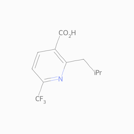 CC(C)Cc1nc(C(F)(F)F)ccc1C(=O)O